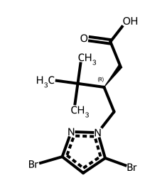 CC(C)(C)[C@@H](CC(=O)O)Cn1nc(Br)cc1Br